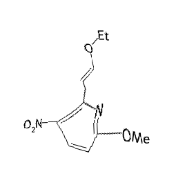 CCOC=Cc1nc(OC)ccc1[N+](=O)[O-]